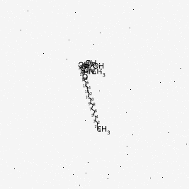 CCCCCCCCCCCCCCCCCCOC[C@H](CO)OP(=O)(O)C(CO)NC